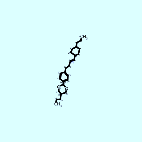 CCCC1CCC(/C=C/CCc2ccc(C3OCC(CCC)CO3)cc2)CC1